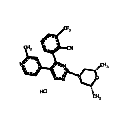 Cc1cc(-c2cnc(N3C[C@@H](C)O[C@@H](C)C3)nc2-c2cccc(C(F)(F)F)c2C#N)ccn1.Cl